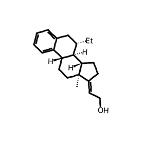 CC[C@H]1Cc2ccccc2[C@H]2CC[C@]3(C)C(=CCO)CC[C@H]3[C@H]12